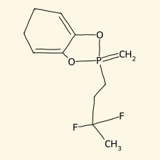 C=P1(CCC(C)(F)F)OC2=CCCC=C2O1